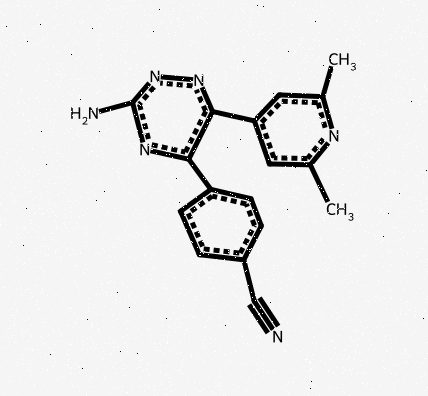 Cc1cc(-c2nnc(N)nc2-c2ccc(C#N)cc2)cc(C)n1